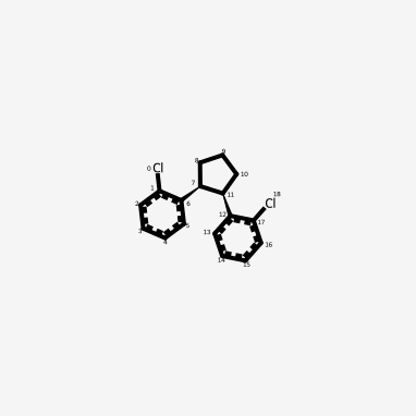 Clc1ccccc1[C@H]1CCC[C@H]1c1ccccc1Cl